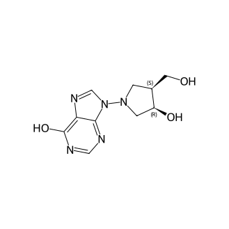 OC[C@@H]1CN(n2cnc3c(O)ncnc32)C[C@@H]1O